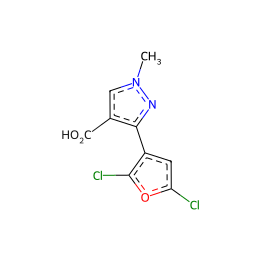 Cn1cc(C(=O)O)c(-c2cc(Cl)oc2Cl)n1